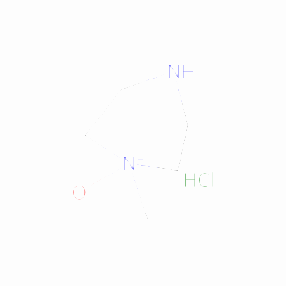 C[N+]1([O-])CCNCC1.Cl